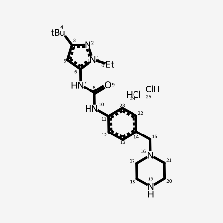 CCn1nc(C(C)(C)C)cc1NC(=O)Nc1ccc(CN2CCNCC2)cc1.Cl.Cl